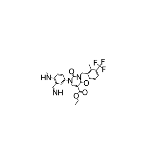 CCOC(=O)c1cn(-c2ccc(NC)c(C=N)c2)c(=O)n(Cc2cccc(C(F)(F)F)c2C)c1=O